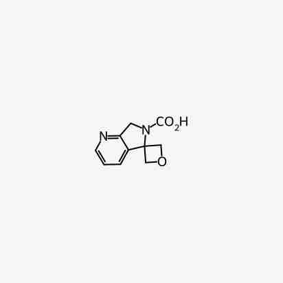 O=C(O)N1Cc2ncccc2C12COC2